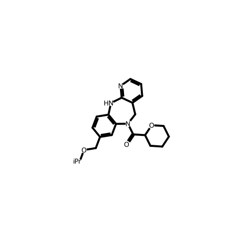 CC(C)OCc1ccc2c(c1)N(C(=O)C1CCCCO1)Cc1cccnc1N2